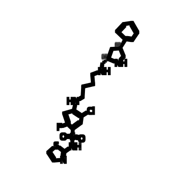 O=S(=O)(Nc1nccs1)c1cc(Cl)c(NCCCCNC[C@@H]2C[C@@H](c3ccccc3)CN2)cc1F